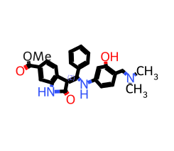 COC(=O)c1ccc2c(c1)NC(=O)/C2=C(\Nc1ccc(CN(C)C)c(O)c1)c1ccccc1